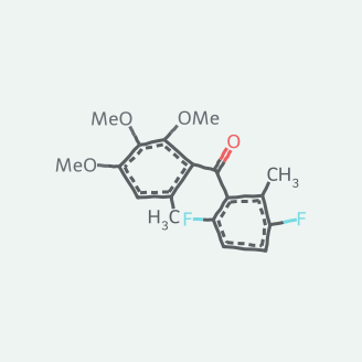 COc1cc(C)c(C(=O)c2c(F)ccc(F)c2C)c(OC)c1OC